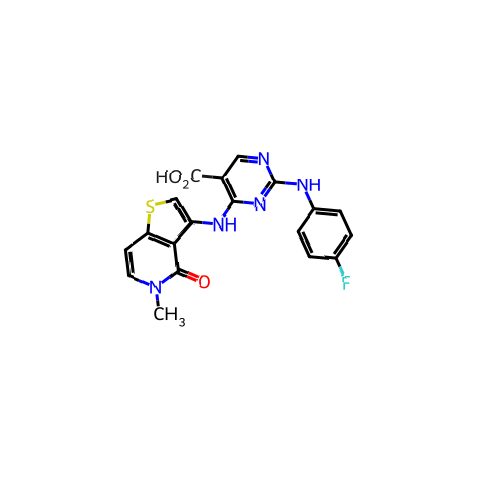 Cn1ccc2scc(Nc3nc(Nc4ccc(F)cc4)ncc3C(=O)O)c2c1=O